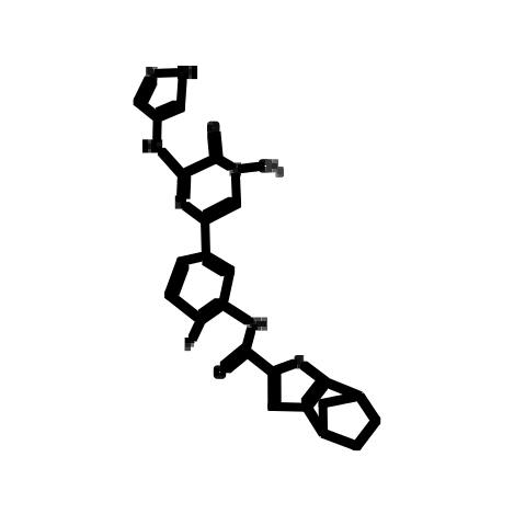 Cn1cc(-c2ccc(F)c(NC(=O)c3cc4c(s3)C3CCC4C3)c2)nc(Nc2cn[nH]c2)c1=O